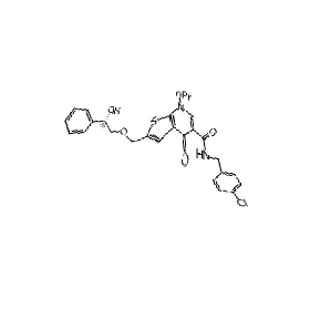 CCCn1cc(C(=O)NCc2ccc(Cl)cc2)c(=O)c2cc(COC[C@@H](O)c3ccccc3)sc21